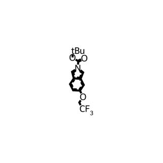 CC(C)(C)OC(=O)n1cc2ccc(OCC(F)(F)F)cc2c1